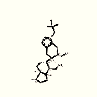 C[C@H]1CC[C@H]2[C@H](CN)[C@@H]([C@@]3(C)Cc4cnn(CC(C)(C)C)c4C[C@@H]3CO)CC[C@]12C